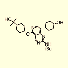 CC[C@H](C)Nc1ncc2c(O[C@H]3CC[C@H](C(C)(C)O)CC3)ncc([C@H]3CC[C@H](O)CC3)c2n1